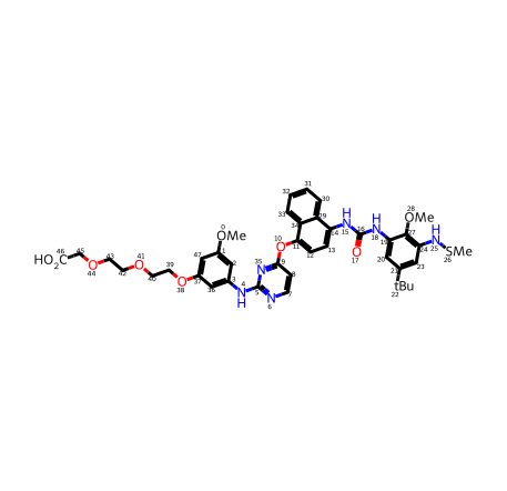 COc1cc(Nc2nccc(Oc3ccc(NC(=O)Nc4cc(C(C)(C)C)cc(NSC)c4OC)c4ccccc34)n2)cc(OCCOCCOCC(=O)O)c1